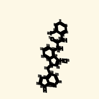 Cl.O=C(Nc1ccccc1F)Nc1cccc2c1ccn2Cc1ccnc2[nH]ccc12